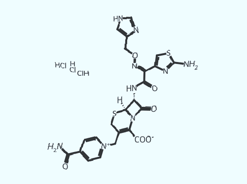 Cl.Cl.Cl.NC(=O)c1cc[n+](CC2=C(C(=O)[O-])N3C(=O)[C@@H](NC(=O)C(=NOCc4c[nH]cn4)c4csc(N)n4)[C@@H]3SC2)cc1